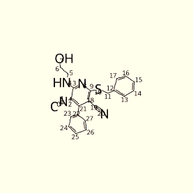 [C-]#[N+]c1c(NCCO)nc(SCc2ccccc2)c(C#N)c1-c1ccccc1